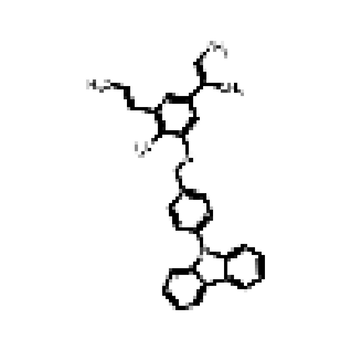 C/C=C/c1cc(/C(C)=C/C)cc(OCc2ccc(-n3c4ccccc4c4ccccc43)cc2)c1N